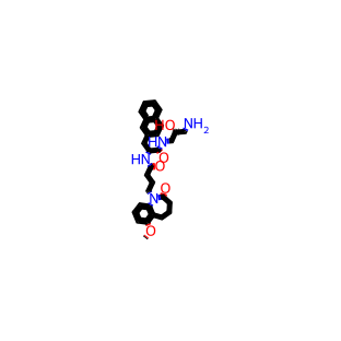 COc1cccc2c1CCCC(=O)N2CCCC(=O)NC(Cc1ccc2ccccc2c1)C(=O)NC[C@H](O)CN